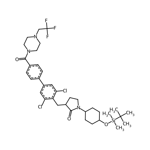 CC(C)(C)[Si](C)(C)OC1CCC(N2CCC(Cc3c(Cl)cc(-c4ccc(C(=O)N5CCN(CC(F)(F)F)CC5)cc4)cc3Cl)C2=O)CC1